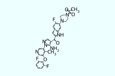 Cc1c(Oc2c(F)cccc2F)cncc1-n1ncc(C(=O)c2cc3cc(F)c(N4CCN(S(C)(=O)=O)CC4)cc3[nH]2)c1N